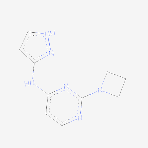 c1cc(Nc2cc[nH]n2)nc(N2CCC2)n1